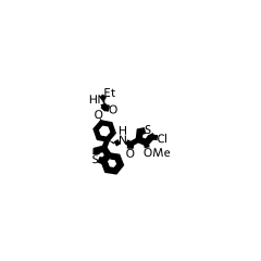 CCNC(=O)O[C@H]1CC[C@](CNC(=O)c2csc(Cl)c2OC)(c2csc3ccccc32)CC1